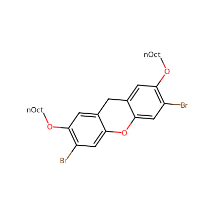 CCCCCCCCOc1cc2c(cc1Br)Oc1cc(Br)c(OCCCCCCCC)cc1C2